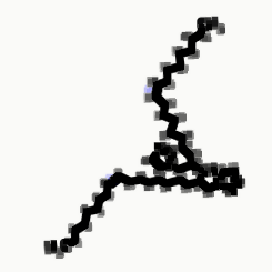 CCCCCCCC/C=C\CCCCCCCC(Cn1ccnn1)NC(CCCCCCC/C=C\CCCCCCCC)Cn1ccnn1